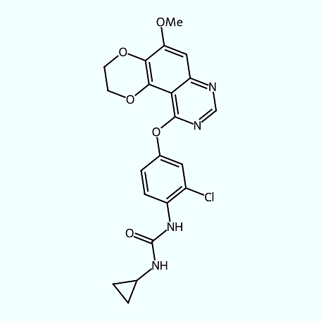 COc1cc2ncnc(Oc3ccc(NC(=O)NC4CC4)c(Cl)c3)c2c2c1OCCO2